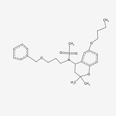 CCCCOc1ccc2c(c1)C(N(CCCOCc1ccccc1)S(C)(=O)=O)CC(C)(C)O2